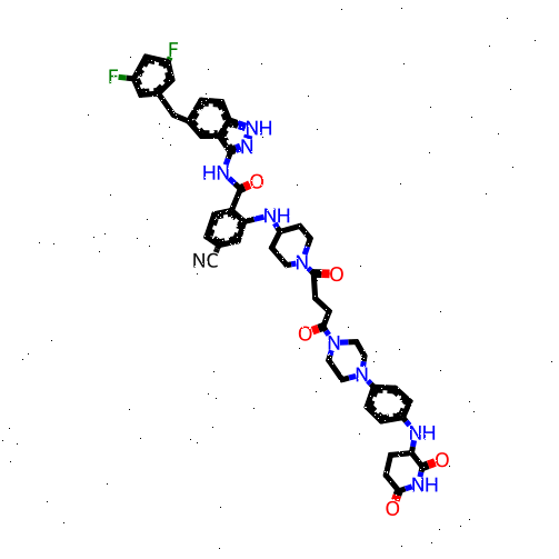 N#Cc1ccc(C(=O)Nc2n[nH]c3ccc(Cc4cc(F)cc(F)c4)cc23)c(NC2CCN(C(=O)CCC(=O)N3CCN(c4ccc(NC5CCC(=O)NC5=O)cc4)CC3)CC2)c1